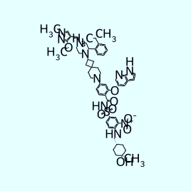 COc1nn(C)cc1CN1CCN(C2CC3(CCN(c4ccc(C(=O)NS(=O)(=O)c5ccc(NC[C@H]6CC[C@](C)(O)CC6)c([N+](=O)[O-])c5)c(Oc5cnc6[nH]ccc6c5)c4)CC3)C2)C(c2ccccc2C(C)C)C1